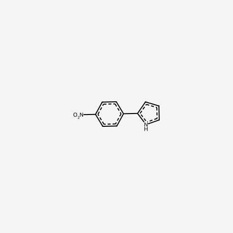 O=[N+]([O-])c1ccc(-c2ccc[nH]2)cc1